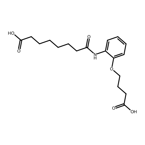 O=C(O)CCCCCCC(=O)Nc1ccccc1OCCCC(=O)O